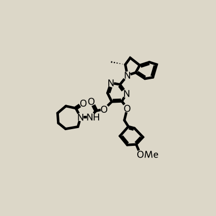 COc1ccc(COc2nc(N3c4ccccc4C[C@H]3C)ncc2OC(=O)NN2CCCCCC2=O)cc1